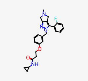 CN1Cc2nn(Cc3cccc(OCCC(=O)NC4CC4)c3)c(-c3ccccc3F)c2C1